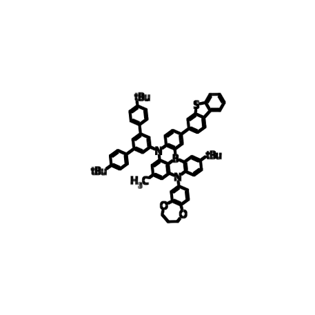 Cc1cc2c3c(c1)N(c1ccc4c(c1)OCCCO4)c1ccc(C(C)(C)C)cc1B3c1cc(-c3ccc4c(c3)sc3ccccc34)ccc1N2c1cc(-c2ccc(C(C)(C)C)cc2)cc(-c2ccc(C(C)(C)C)cc2)c1